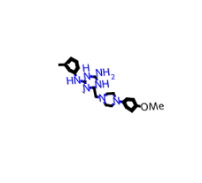 COc1ccc(N2CCN(CC3NC(N)NC(Nc4cccc(C)c4)N3C)CC2)cc1